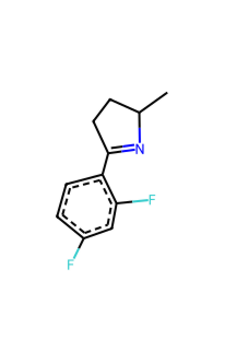 CC1CCC(c2ccc(F)cc2F)=N1